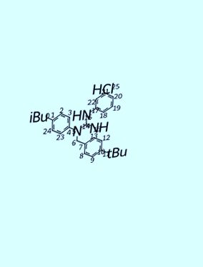 CCC(C)c1ccc(N(Cc2ccc(C(C)(C)C)cc2)C(=N)Nc2ccccc2)cc1.Cl